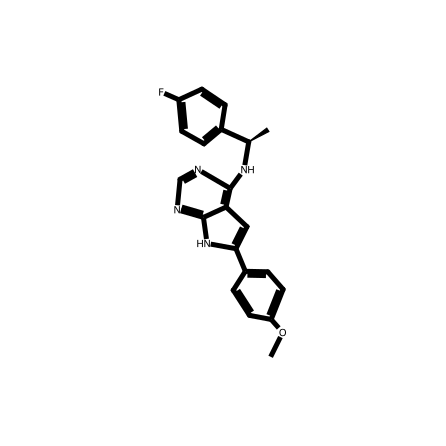 COc1ccc(-c2cc3c(N[C@H](C)c4ccc(F)cc4)ncnc3[nH]2)cc1